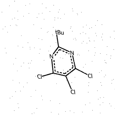 CC(C)(C)c1nc(Cl)c(Cl)c(Cl)n1